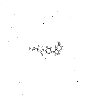 CN1CCN(c2ccc(-c3cnc4ccc(Cl)nn34)cc2)C(=O)C1